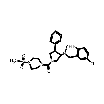 CN(Cc1cc(Cl)ccc1F)C1CN(C(=O)N2CCN(S(C)(=O)=O)CC2)CC1c1ccccc1